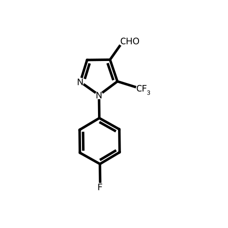 O=Cc1cnn(-c2ccc(F)cc2)c1C(F)(F)F